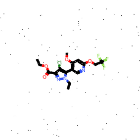 CCOC(=O)c1nn(CC)c(-c2cnc(OCC(F)(F)F)cc2OC)c1Cl